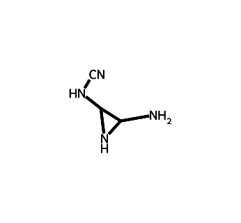 N#CNC1NC1N